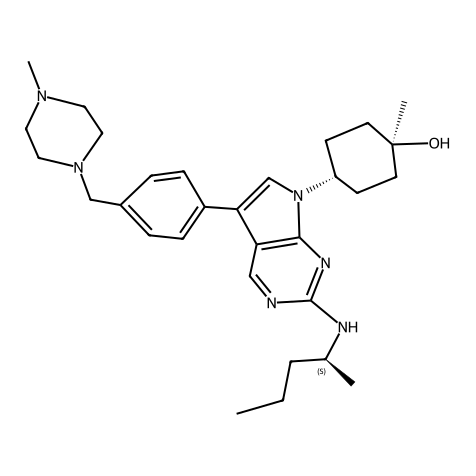 CCC[C@H](C)Nc1ncc2c(-c3ccc(CN4CCN(C)CC4)cc3)cn([C@H]3CC[C@](C)(O)CC3)c2n1